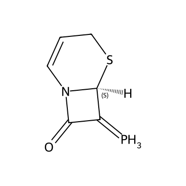 O=C1C(=[PH3])[C@@H]2SCC=CN12